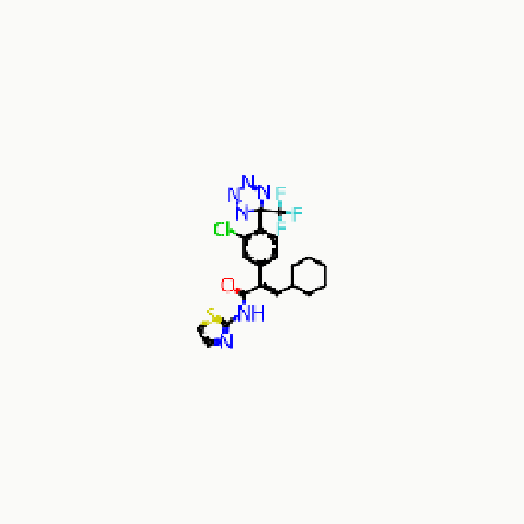 O=C(Nc1nccs1)/C(=C/C1CCCCC1)c1ccc(C2(C(F)(F)F)N=NN=N2)c(Cl)c1